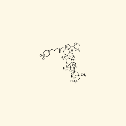 C=C(C)C1CC[C@]2(CNCCCN3CCS(=O)(=O)CC3)CC[C@]3(C)[C@H](CC[C@@H]4[C@@]5(C)CCN(C(=O)CC(C)(C)CC(=O)O)C(C)(C)[C@@H]5CC[C@]43C)[C@@H]12